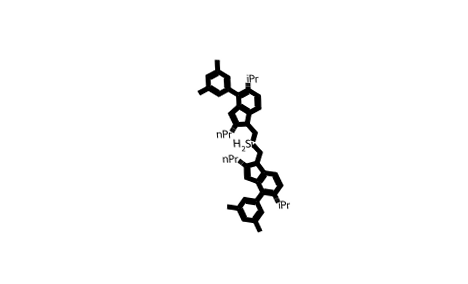 CCCC1=Cc2c(ccc(C(C)C)c2-c2cc(C)cc(C)c2)C1C[SiH2]CC1C(CCC)=Cc2c1ccc(C(C)C)c2-c1cc(C)cc(C)c1